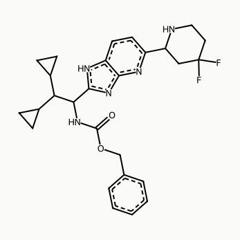 O=C(NC(c1nc2nc(C3CC(F)(F)CCN3)ccc2[nH]1)C(C1CC1)C1CC1)OCc1ccccc1